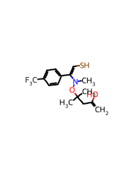 C=C(O)CC(C)(C)ON(C)/C(=C\S)c1ccc(C(F)(F)F)cc1